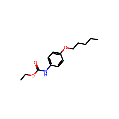 CCCCCOc1ccc(NC(=O)OCC)cc1